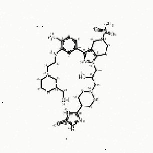 CS(=O)(=O)N1CCc2c(c(-c3ccc(C(F)(F)F)c(SCCN4CCCC(CO)C4)c3)nn2CC(O)CN2CCC(c3n[nH]c(=O)[nH]3)CC2)C1